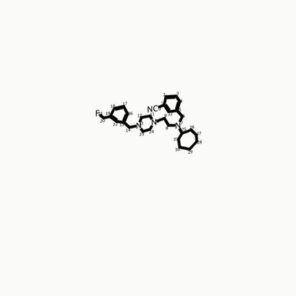 N#Cc1cccc(CN(CCN2CCN(Cc3cccc(CF)c3)CC2)C2CCCCCC2)c1